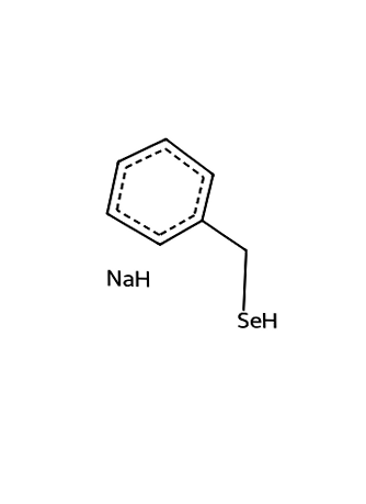 [NaH].[SeH]Cc1ccccc1